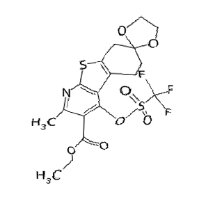 CCOC(=O)c1c(C)nc2sc3c(c2c1OS(=O)(=O)C(F)(F)F)CCC1(C3)OCCO1